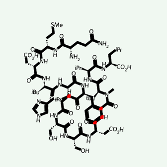 CC[C@H](C)[C@H](NC(=O)[C@H](CC(=O)O)NC(=O)[C@H](CCSC)NC(=O)[C@@H](N)CCC(N)=O)C(=O)N[C@@H](CC(C)C)C(=O)N[C@@H](Cc1ccccc1)C(=O)N[C@@H](Cc1c[nH]cn1)C(=O)N[C@@H](CO)C(=O)N[C@@H](CO)C(=O)N[C@@H](CC(=O)O)C(=O)NCC(=O)N(C)[C@H](C(=O)N[C@H](C(=O)N[C@@H](CC(C)C)C(=O)O)C(C)C)C(C)(C)C